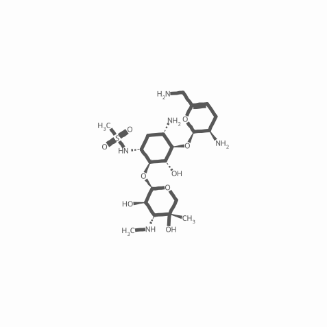 CN[C@@H]1[C@@H](O)[C@@H](O[C@@H]2[C@@H](O)[C@H](O[C@H]3OC(CN)=CC[C@H]3N)[C@@H](N)C[C@H]2NS(C)(=O)=O)OC[C@]1(C)O